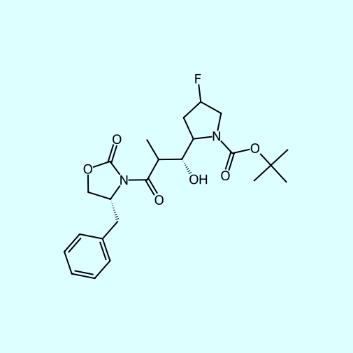 CC(C(=O)N1C(=O)OC[C@H]1Cc1ccccc1)[C@@H](O)C1CC(F)CN1C(=O)OC(C)(C)C